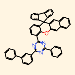 c1ccc(-c2cccc(-c3nc(-c4ccccc4)nc(-c4cccc5c4Oc4cc6ccccc6cc4C54c5ccccc5-c5ccccc54)n3)c2)cc1